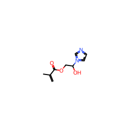 C=C(C)C(=O)OCC(O)n1ccnc1